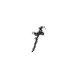 C#CCOCCOCCOCCOCC[S+]([O-])CCCn1c(CN2C(=O)C3(CCN(C(=O)CN)CC3)c3ccncc32)nc2cc(Cl)ccc21